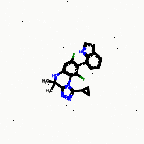 CC1(C)Nc2cc(F)c(-c3cccc4cc[nH]c34)c(F)c2-n2c(C3CC3)nnc21